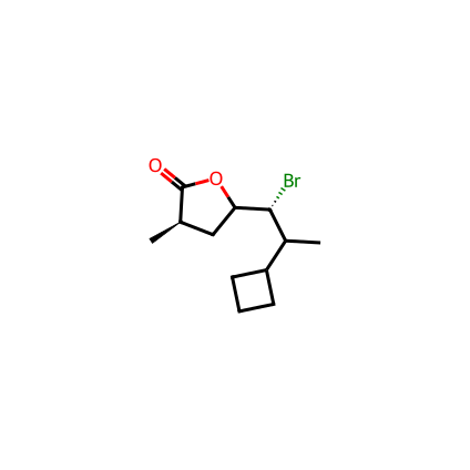 CC(C1CCC1)[C@@H](Br)C1C[C@@H](C)C(=O)O1